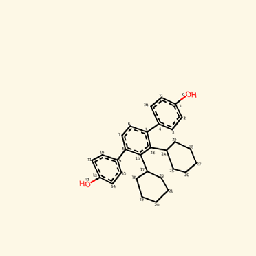 Oc1ccc(-c2ccc(-c3ccc(O)cc3)c(C3CCCCC3)c2C2CCCCC2)cc1